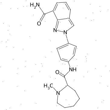 CN1CCCCCC1C(=O)Nc1ccc(-n2cc3cccc(C(N)=O)c3n2)cc1